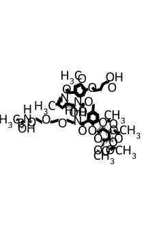 COC(=O)[C@H]1O[C@@H](Oc2ccc(COC(=O)N3c4cc(OCCCC(=O)O)c(OC)cc4C(=O)N4C=C(C)C[C@H]4C3O)cc2C(=O)NCCOCCOCCONB(C)O)[C@H](OC(C)=O)[C@@H](OC(C)=O)[C@@H]1OC(C)=O